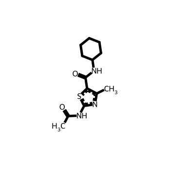 CC(=O)Nc1nc(C)c(C(=O)NC2CCCCC2)s1